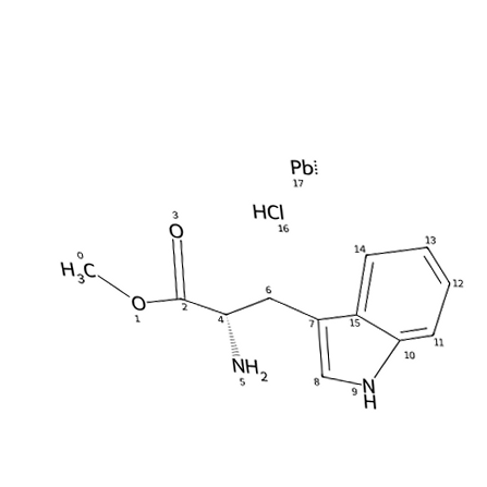 COC(=O)[C@@H](N)Cc1c[nH]c2ccccc12.Cl.[Pb]